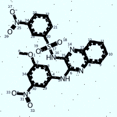 COc1cc(Nc2nc3ccccc3nc2NS(=O)(=O)c2cccc([N+](=O)[O-])c2)cc([N+](=O)[O-])c1